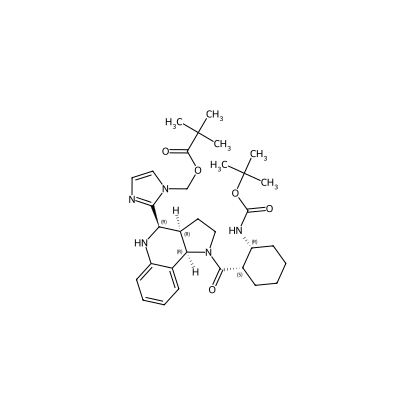 CC(C)(C)OC(=O)N[C@@H]1CCCC[C@@H]1C(=O)N1CC[C@@H]2[C@H](c3nccn3COC(=O)C(C)(C)C)Nc3ccccc3[C@@H]21